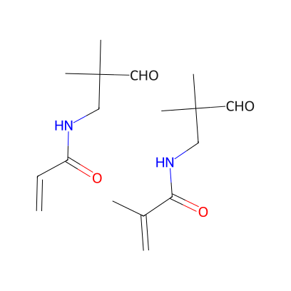 C=C(C)C(=O)NCC(C)(C)C=O.C=CC(=O)NCC(C)(C)C=O